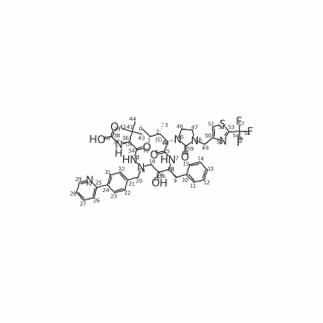 CC[C@H](C)[C@@H](C(=O)N[C@@H](Cc1ccccc1)[C@@H](O)CN(Cc1ccc(-c2ccccn2)cc1)NC(=O)[C@@H](NC(=O)O)C(C)(C)C)N1CCN(Cc2csc(C(F)(F)F)n2)C1=O